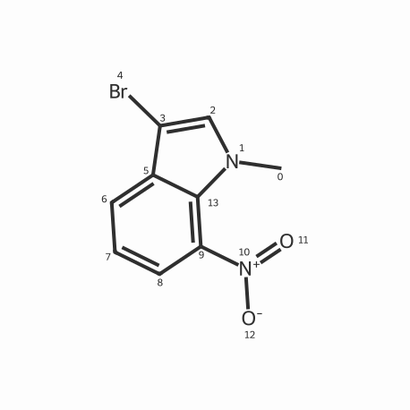 Cn1cc(Br)c2cccc([N+](=O)[O-])c21